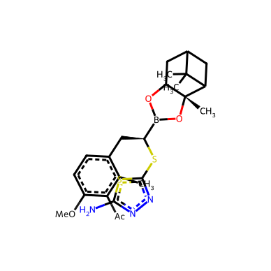 COc1ccc(C[C@H](Sc2nnc(N)s2)B2OC3CC4CC(C4(C)C)[C@]3(C)O2)c(C)c1C(C)=O